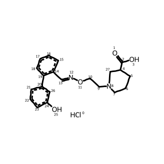 Cl.O=C(O)C1CCCN(CCON=Cc2ccccc2-c2cccc(O)c2)C1